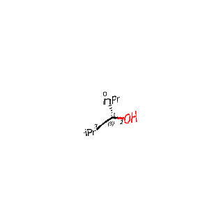 CCC[C@H](O)[C](C)C